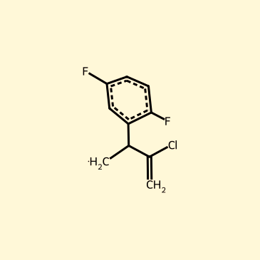 [CH2]C(C(=C)Cl)c1cc(F)ccc1F